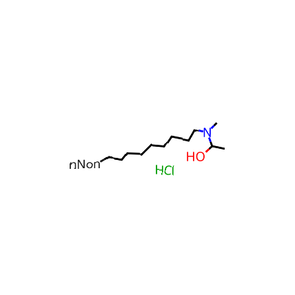 CCCCCCCCCCCCCCCCCCN(C)C(C)O.Cl